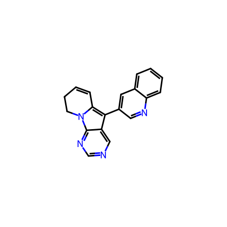 C1=Cc2c(-c3cnc4ccccc4c3)c3cncnc3n2CC1